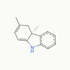 CC1=CC=C2Nc3ccccc3[C@]2(C)C1